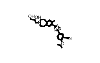 Cc1cc2c(cc1-c1noc(-c3ccc(OC(C)C)c(C#N)c3)n1)CCN(C[C@H](O)CO)CC2